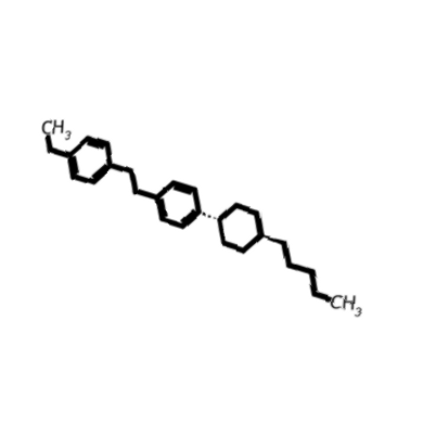 CCCCC[C@H]1CC[C@H](c2ccc(CCc3ccc(CC)cc3)cc2)CC1